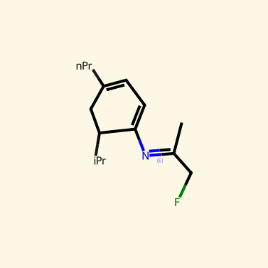 CCCC1=CC=C(/N=C(\C)CF)C(C(C)C)C1